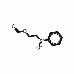 O=COCC[S+]([O-])c1ccccc1